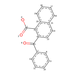 [O]C(=O)c1c(C(=O)c2ccccc2)ccc2ccccc12